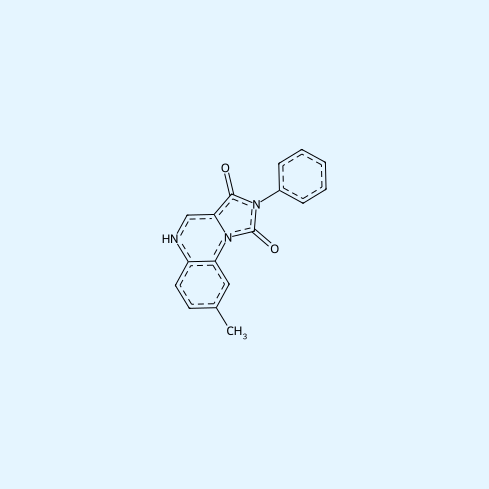 Cc1ccc2[nH]cc3c(=O)n(-c4ccccc4)c(=O)n-3c2c1